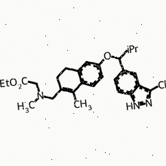 CCOC(=O)CN(C)CC1=C(C)c2ccc(OC(c3ccc4[nH]nc(Cl)c4c3)C(C)C)cc2CC1